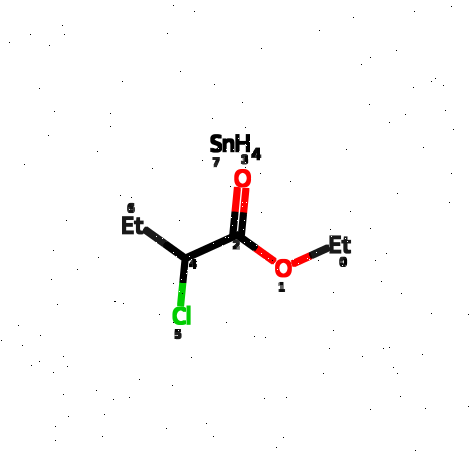 CCOC(=O)C(Cl)CC.[SnH4]